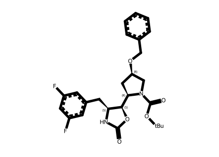 CC(C)(C)OC(=O)N1C[C@H](OCc2ccccc2)C[C@@H]1[C@H]1OC(=O)N[C@H]1Cc1cc(F)cc(F)c1